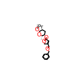 CC(C)O[C@H]1CC[C@@H](OC2C=C(COCc3ccccc3)CO2)[C@H](C)O1